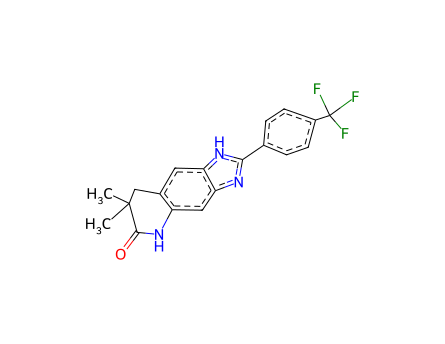 CC1(C)Cc2cc3[nH]c(-c4ccc(C(F)(F)F)cc4)nc3cc2NC1=O